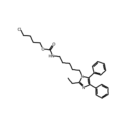 CCc1nc(-c2ccccc2)c(-c2ccccc2)n1CCCCCNC(=O)OCCCCCl